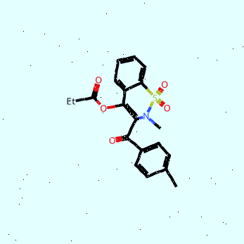 CCC(=O)OC1=C(C(=O)c2ccc(C)cc2)N(C)S(=O)(=O)c2ccccc21